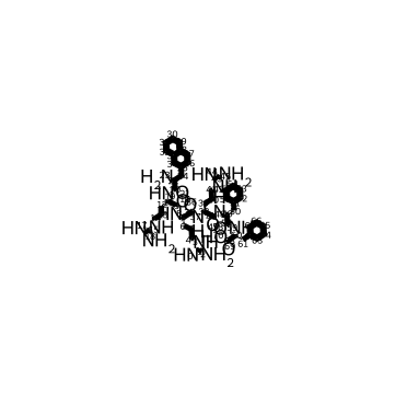 N=C(N)NCCC[C@H](NC(=O)[C@H](CCCNC(=N)N)NC(=O)[C@@H](N)Cc1ccc2ccccc2c1)C(=O)N[C@@H](CCCNC(=N)N)C(=O)N[C@H](Cc1ccccc1)C(=O)N[C@H](Cc1ccccc1)C(=O)O